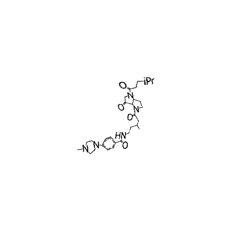 CC(C)CCC(=O)N1CC(=O)C2C1CCN2C(=O)CC(C)CCNC(=O)c1ccc(N2CCN(C)CC2)cc1